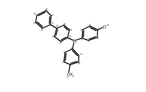 Cc1ccc(N(c2ccc(Cl)cc2)c2ccc(-c3ccccc3)cc2)cc1